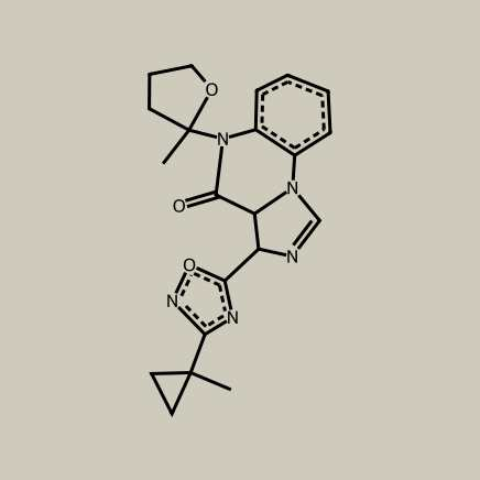 CC1(c2noc(C3N=CN4c5ccccc5N(C5(C)CCCO5)C(=O)C34)n2)CC1